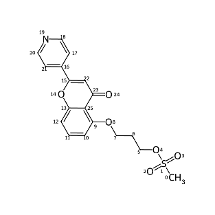 CS(=O)(=O)OCCCOc1cccc2oc(-c3ccncc3)cc(=O)c12